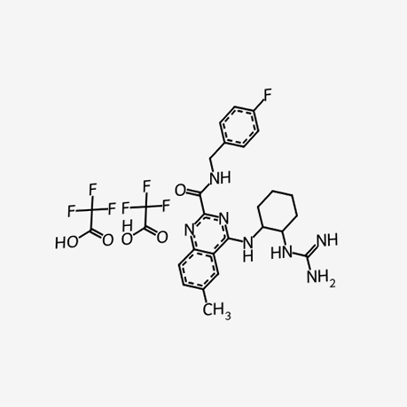 Cc1ccc2nc(C(=O)NCc3ccc(F)cc3)nc(NC3CCCCC3NC(=N)N)c2c1.O=C(O)C(F)(F)F.O=C(O)C(F)(F)F